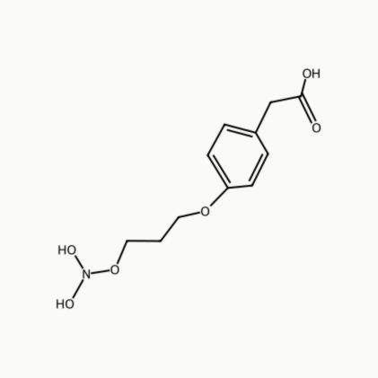 O=C(O)Cc1ccc(OCCCON(O)O)cc1